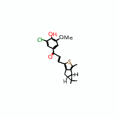 COc1cc(C(=O)C=Cc2sc(C)c3c2C[C@@H]2[C@H]3C2(C)C)cc(Cl)c1O